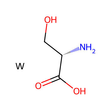 N[C@@H](CO)C(=O)O.[W]